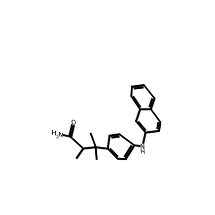 CC(C(N)=O)C(C)(C)c1ccc(Nc2ccc3ccccc3c2)cc1